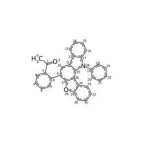 CC(=O)c1ccccc1-c1cc2c3ccccc3n(-c3ccccc3)c2c2c1oc1ccccc12